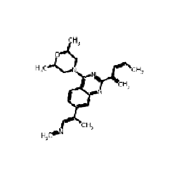 C=N/C=C(\C)c1ccc2c(N3CC(C)OC(C)C3)nc(C(=C)/C=C\C)nc2c1